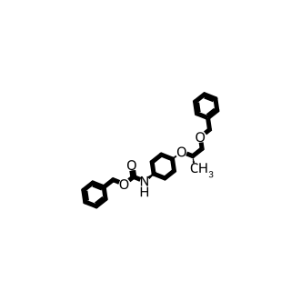 C[C@@H](COCc1ccccc1)O[C@H]1CC[C@H](NC(=O)OCc2ccccc2)CC1